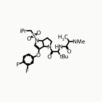 CNC(C)C(=O)NC(C(=O)N1CCC2C1C(Oc1ccc(F)c(F)c1)=CN2S(=O)(=O)CC(C)C)C(C)(C)C